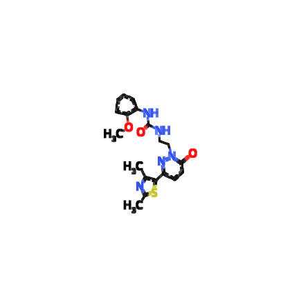 COc1ccccc1NC(=O)NCCn1nc(-c2sc(C)nc2C)ccc1=O